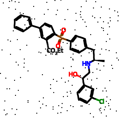 CCOC(=O)c1cc(-c2ccccc2)ccc1S(=O)(=O)c1ccc(C[C@@H](C)NC[C@@H](O)c2cccc(Cl)c2)cc1